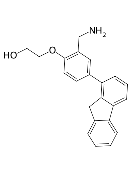 NCc1cc(-c2cccc3c2Cc2ccccc2-3)ccc1OCCO